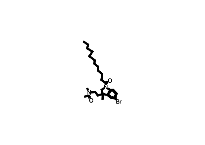 CCCCCCCCCCCC(=O)N1CC(C)(CCN(C)C(C)=O)c2cc(Br)ccc21